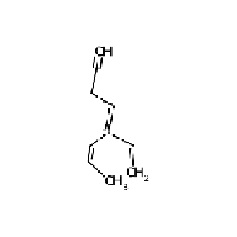 C#CC/C=C(C=C)\C=C/C